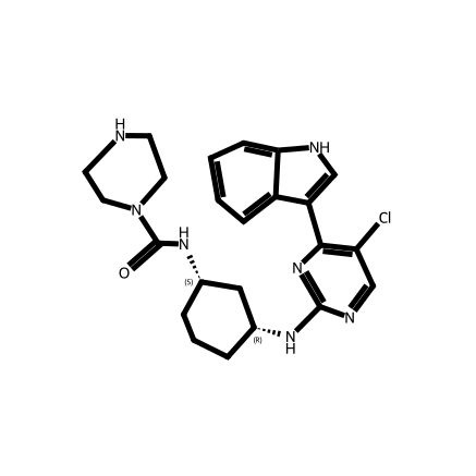 O=C(N[C@H]1CCC[C@@H](Nc2ncc(Cl)c(-c3c[nH]c4ccccc34)n2)C1)N1CCNCC1